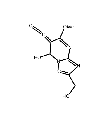 COC1=Nc2nc(CO)nn2C(O)C1=C=O